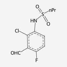 CCCS(=O)(=O)Nc1ccc(F)c(C=O)c1Cl